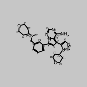 CN(Cc1cccc(-c2cc(-c3cnnn3C3CCOCC3)c3c(N)ncnn23)c1)C1CCOCC1